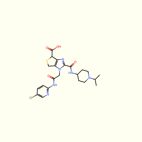 CC(C)N1CCC(NC(=O)c2nc3c(n2CC(=O)Nc2ccc(Cl)cn2)CSC3C(=O)O)CC1